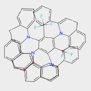 FC(F)(F)c1c(N2C(c3ccccc3)=CCc3ccccc32)c(N2C(c3ccccc3)=CCc3ccccc32)c(N2C(c3ccccc3)=CCc3ccccc32)c(C(F)(F)F)c1N1C(c2ccccc2)=CCc2ccccc21